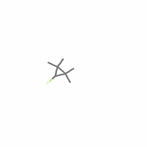 CC1(C)C(F)C1(C)C